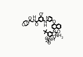 COc1cc(Nc2cc(Oc3ccc(N(C(N)=O)c4cc(C(C)(C)C)cc(NS(C)(=O)=O)c4OC)c4ccccc34)ccn2)cc(C(=O)NCC(=O)N2CCOCC2)c1